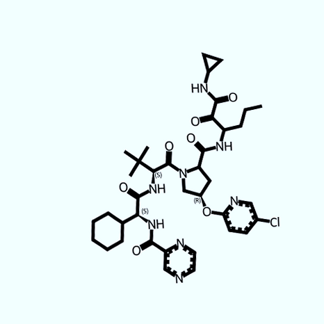 CCCC(NC(=O)C1C[C@@H](Oc2ccc(Cl)cn2)CN1C(=O)[C@@H](NC(=O)[C@@H](NC(=O)c1cnccn1)C1CCCCC1)C(C)(C)C)C(=O)C(=O)NC1CC1